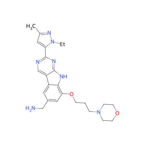 CCn1nc(C)cc1-c1ncc2c(n1)[nH]c1c(OCCCN3CCOCC3)cc(CN)cc12